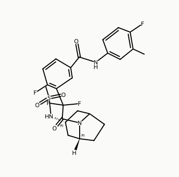 Cc1cc(NC(=O)c2ccc(F)c(C(F)(F)C(=O)N3C4CC[C@@H]3C[C@H](NS(C)(=O)=O)C4)c2)ccc1F